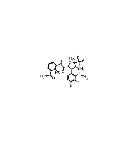 COc1c([C@H]2[C@H](C(=O)Nc3ccnc(C(N)=O)c3S)O[C@@](C)(C(F)(F)F)[C@H]2C)ccc(F)c1F